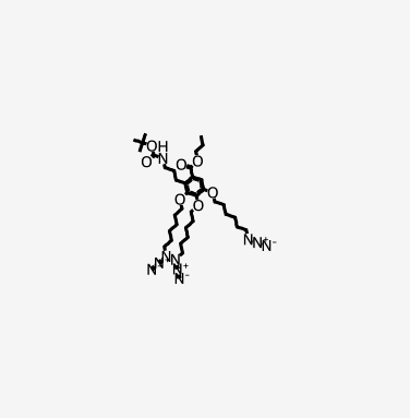 CCCOC(=O)c1cc(OCCCCCCN=[N+]=[N-])c(OCCCCCCN=[N+]=[N-])c(OCCCCCCN=[N+]=[N-])c1CCCNC(=O)OC(C)(C)C